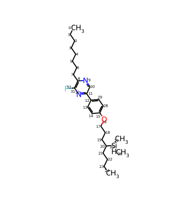 CCCCCCCCc1ncc(-c2ccc(OCCCC(CCCC)[SiH](C)C)cc2)nc1F